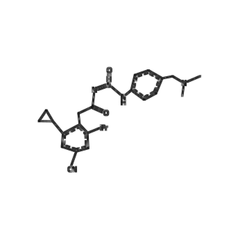 CC(C)c1cc(C#N)cc(C2CC2)c1CC(=O)/N=[SH](=O)\Nc1ccc(CN(C)C)cc1